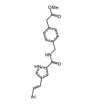 COC(=O)Cc1ccc(CNC(=O)c2cc(/C=C/C(C)=O)c[nH]2)cc1